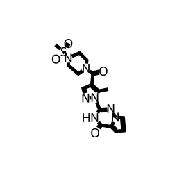 Cc1c(C(=O)N2CCN(S(C)(=O)=O)CC2)cnn1-c1nn2cccc2c(=O)[nH]1